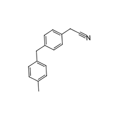 Cc1ccc(Cc2ccc(CC#N)cc2)cc1